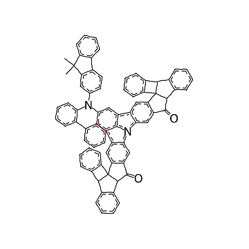 CC1(C)c2ccccc2-c2ccc(N(c3cc4c5cc6c(cc5n5c7cc8c(cc7c(c3)c45)C34c5ccccc5C3c3ccccc3C4C8=O)C(=O)C3c4ccccc4C4c5ccccc5C634)c3ccccc3-c3ccccc3)cc21